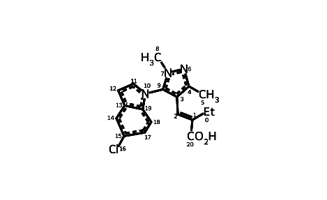 CC/C(=C\c1c(C)nn(C)c1-n1ccc2cc(Cl)ccc21)C(=O)O